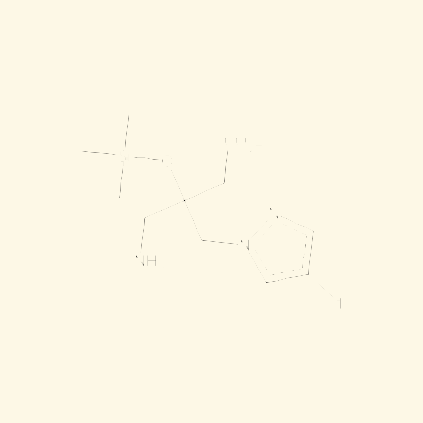 CCOC(=O)CC(CN)(Cn1cc(I)cn1)O[Si](C)(C)C